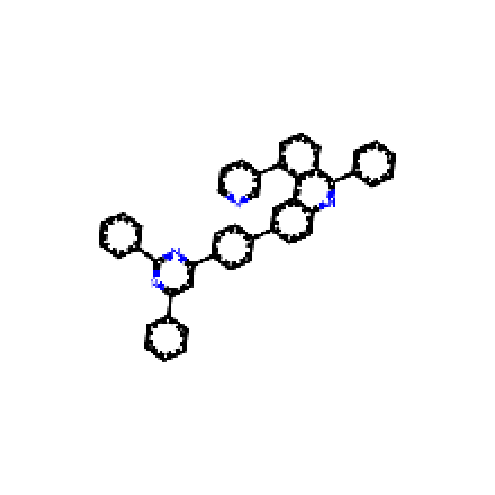 c1ccc(-c2cc(-c3ccc(-c4ccc5nc(-c6ccccc6)c6cccc(-c7cccnc7)c6c5c4)cc3)nc(-c3ccccc3)n2)cc1